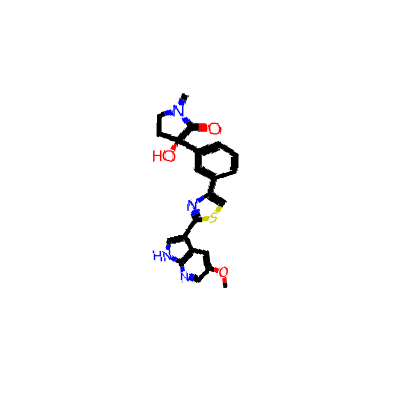 COc1cnc2[nH]cc(-c3nc(-c4cccc([C@]5(O)CCN(C)C5=O)c4)cs3)c2c1